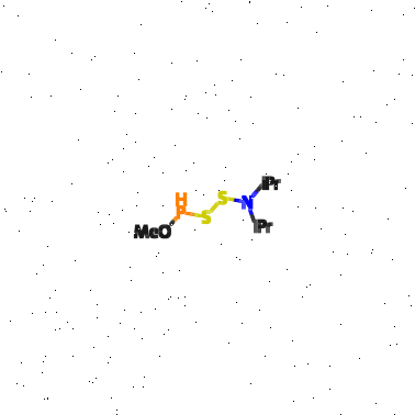 COPSSN(C(C)C)C(C)C